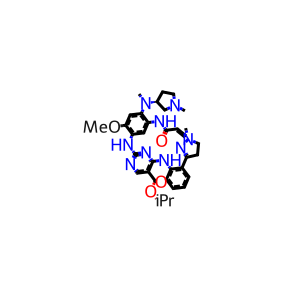 C=CC(=O)Nc1cc(Nc2ncc(C(=O)OC(C)C)c(Nc3ccccc3C3=NN(C)CC3)n2)c(OC)cc1N(C)[C@H]1CCN(C)C1